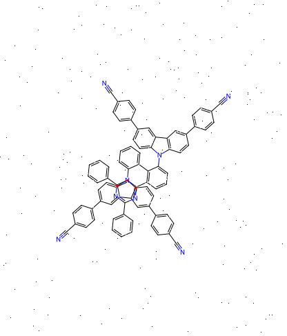 N#Cc1ccc(-c2ccc3c(c2)c2cc(-c4ccc(C#N)cc4)ccc2n3-c2ccccc2-c2c(-c3cc(-c4ccccc4)nc(-c4ccccc4)n3)cccc2-n2c3ccc(-c4ccc(C#N)cc4)cc3c3cc(-c4ccc(C#N)cc4)ccc32)cc1